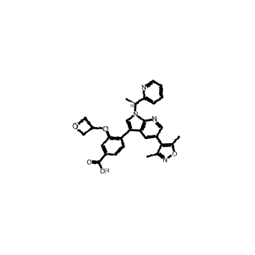 Cc1noc(C)c1-c1cnc2c(c1)c(-c1ccc(C(=O)O)cc1OC1COC1)cn2[C@@H](C)c1ccccn1